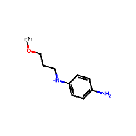 CCCOCCCNc1ccc(N)cc1